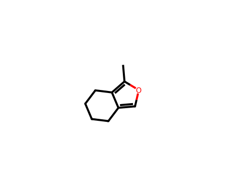 Cc1occ2c1CCCC2